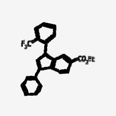 CCOC(=O)c1ccc2c(c1)C(c1ccccc1C(F)(F)F)C=C2c1ccccc1